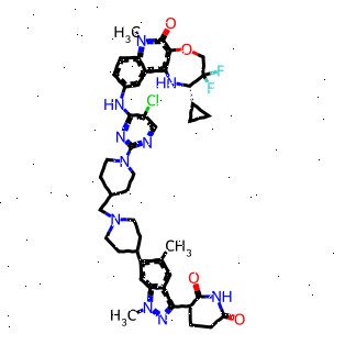 Cc1cc2c(C3CCC(=O)NC3=O)nn(C)c2cc1C1CCN(CC2CCN(c3ncc(Cl)c(Nc4ccc5c(c4)c4c(c(=O)n5C)OCC(F)(F)[C@H](C5CC5)N4)n3)CC2)CC1